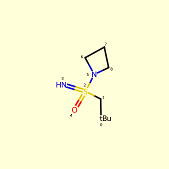 CC(C)(C)CS(=N)(=O)N1CCC1